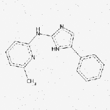 Cc1cccc(Nc2ncc(-c3ccccc3)[nH]2)n1